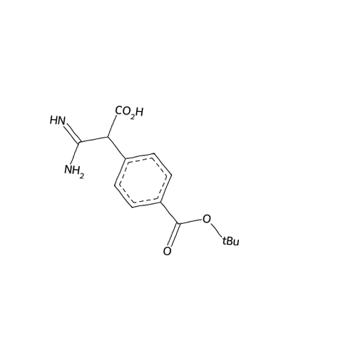 CC(C)(C)OC(=O)c1ccc(C(C(=N)N)C(=O)O)cc1